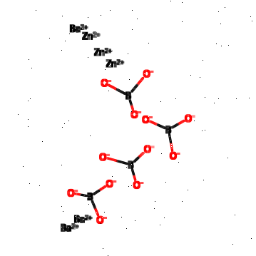 [Ba+2].[Ba+2].[Ba+2].[O-]B([O-])[O-].[O-]B([O-])[O-].[O-]B([O-])[O-].[O-]B([O-])[O-].[Zn+2].[Zn+2].[Zn+2]